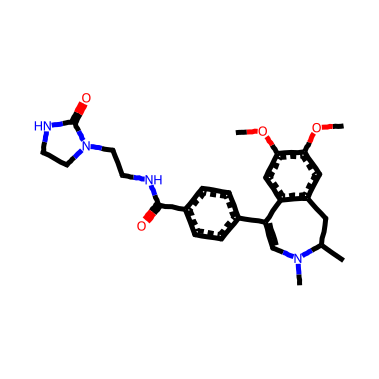 COc1cc2c(cc1OC)C(c1ccc(C(=O)NCCN3CCNC3=O)cc1)=CN(C)C(C)C2